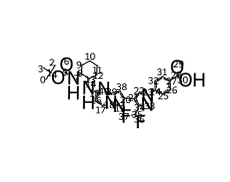 CC(C)(C)OC(=O)N[C@H]1CCCC[C@H]1Nc1ccn2nc(-c3cn(-c4ccc(C(=O)O)cc4)nc3C(F)F)cc2n1